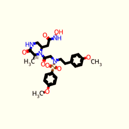 COc1ccc(CCN(CC(=O)N2C(CC(=O)NO)CNC(=O)[C@@H]2C)S(=O)(=O)c2ccc(OC)cc2)cc1